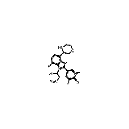 CCC(COC)n1c(-c2cc(C)c(=O)n(C)c2)nc2c(C3COCCN3)ccc(F)c21